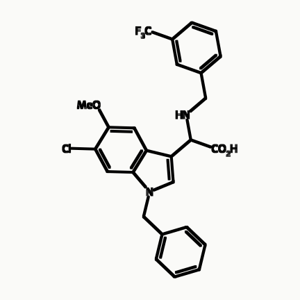 COc1cc2c(C(NCc3cccc(C(F)(F)F)c3)C(=O)O)cn(Cc3ccccc3)c2cc1Cl